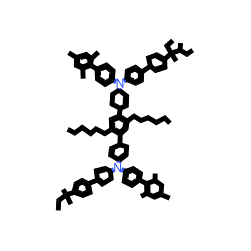 CCCCCCc1cc(C2C=CC(N(c3ccc(-c4c(C)cc(C)cc4C)cc3)c3ccc(C4C=CC(C(C)(CC)C(C)CC)=CC4)cc3)CC2)c(CCCCCC)cc1C1C=CC(N(c2ccc(C3=C(C)C=C(C)CC3C)cc2)C2C=CC(c3ccc(C(C)(C)CC)cc3)=CC2)=CC1